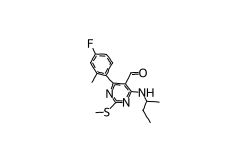 CCC(C)Nc1nc(SC)nc(-c2ccc(F)cc2C)c1C=O